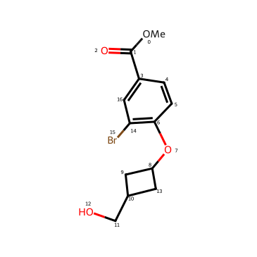 COC(=O)c1ccc(OC2CC(CO)C2)c(Br)c1